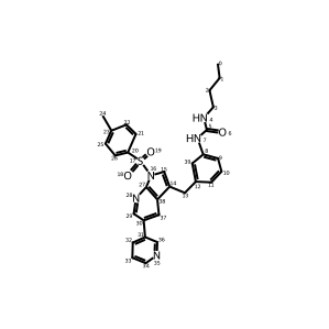 CCCCNC(=O)Nc1cccc(Cc2cn(S(=O)(=O)c3ccc(C)cc3)c3ncc(-c4cccnc4)cc23)c1